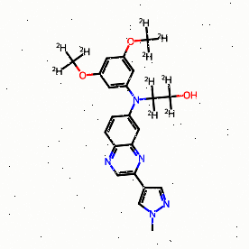 [2H]C([2H])([2H])Oc1cc(OC([2H])([2H])[2H])cc(N(c2ccc3ncc(-c4cnn(C)c4)nc3c2)C([2H])([2H])C([2H])([2H])O)c1